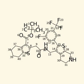 CC(C)(C)OC(=O)c1c(CC(=O)NCc2c(-c3cc(F)cc(C(F)(F)F)c3)sc3c2CCNC3)sc2c1CCCC2